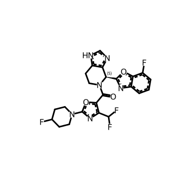 O=C(c1oc(N2CCC(F)CC2)nc1C(F)F)N1CCc2[nH]cnc2[C@H]1c1nc2cccc(F)c2o1